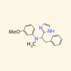 COc1cccc(N(C)C(Cc2ccccc2)c2ncc[nH]2)c1